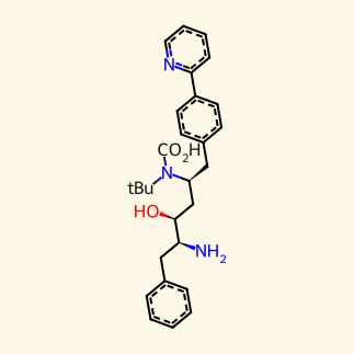 CC(C)(C)N(C(=O)O)[C@@H](Cc1ccc(-c2ccccn2)cc1)C[C@H](O)[C@@H](N)Cc1ccccc1